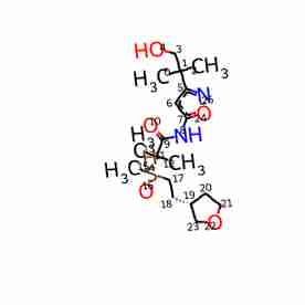 CC(C)(CO)c1cc(NC(=O)C(C)(C)[SH](C)(=O)CC[C@@H]2CCOC2)on1